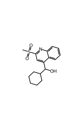 CS(=O)(=O)c1cc(C(O)C2CCCCC2)c2ccccc2n1